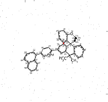 CC1(C)c2ccccc2C2(c3ccccc3Oc3ccccc32)c2ccc(C(=N)/C=C\C(=N)c3cccc4ccccc34)cc21